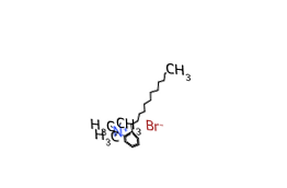 CCCCCCCCCCCCc1ccccc1[N+](C)(C)C.[Br-]